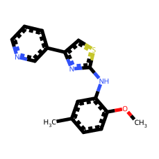 COc1ccc(C)cc1Nc1nc(-c2cccnc2)cs1